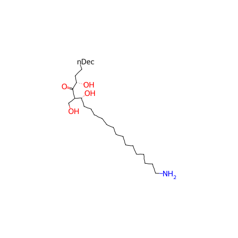 CCCCCCCCCCCC[C@H](O)C(=O)C(CO)[C@H](O)CCCCCCCCCCCCCCCN